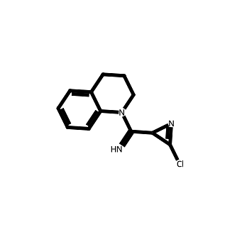 N=C(C1N=C1Cl)N1CCCc2ccccc21